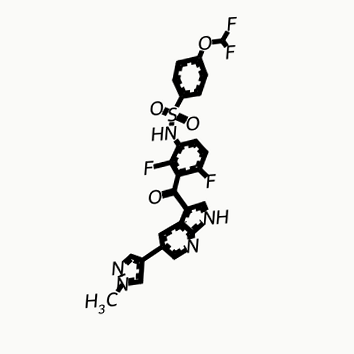 Cn1cc(-c2cnc3[nH]cc(C(=O)c4c(F)ccc(NS(=O)(=O)c5ccc(OC(F)F)cc5)c4F)c3c2)cn1